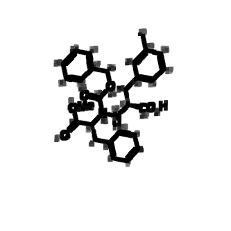 COC(=O)[C@H](Cc1ccccc1)N(N[C@@H](Cc1cccc(C)c1)C(=O)O)C(=O)OCc1ccccc1